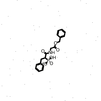 O=C(CNC(=O)C(Cc1ccccc1)P(=O)(O)O)OCc1ccccc1